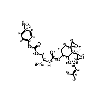 COC1C(OC(=O)N[C@@H](COC(=O)Oc2ccc([N+](=O)[O-])cc2)C(C)C)CC[C@]2(CO2)C1[C@@]1(C)O[C@@H]1CC=C(C)C